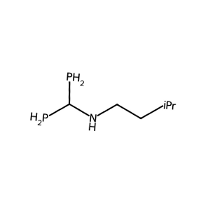 CC(C)CCNC(P)P